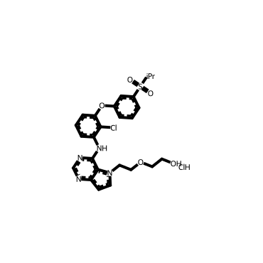 CC(C)S(=O)(=O)c1cccc(Oc2cccc(Nc3ncnc4ccn(CCOCCO)c34)c2Cl)c1.Cl